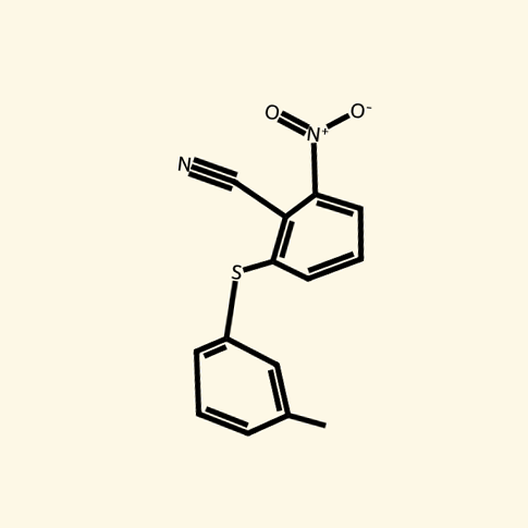 Cc1cccc(Sc2cccc([N+](=O)[O-])c2C#N)c1